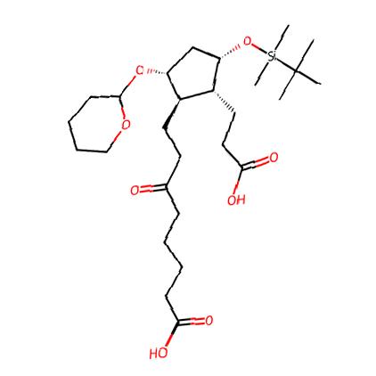 CC(C)(C)[Si](C)(C)O[C@H]1C[C@@H](OC2CCCCO2)[C@H](CCC(=O)CCCCC(=O)O)[C@H]1CCC(=O)O